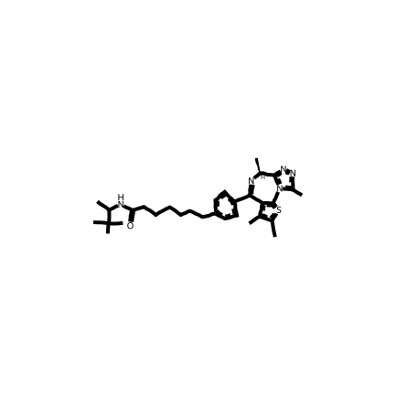 Cc1sc2c(c1C)C(c1ccc(CCCCCCC(=O)NC(C)C(C)(C)C)cc1)=N[C@@H](C)c1nnc(C)n1-2